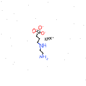 NCCNCCC[Si]([O-])([O-])[O-].[K+].[K+].[K+]